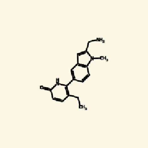 CCc1ccc(=O)[nH]c1-c1ccc2c(c1)cc(CN)n2C